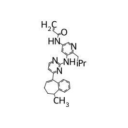 C=CC(=O)Nc1cnc(CC(C)C)c(Nc2nccc(C3=CCCC(C)c4ccccc43)n2)c1